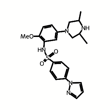 COc1ccc(N2CC(C)NC(C)C2)cc1NS(=O)(=O)c1ccc(-n2cccn2)cc1